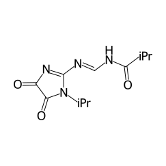 CC(C)C(=O)NC=NC1=NC(=O)C(=O)N1C(C)C